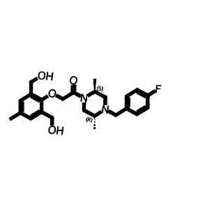 Cc1cc(CO)c(OCC(=O)N2C[C@@H](C)N(Cc3ccc(F)cc3)C[C@@H]2C)c(CO)c1